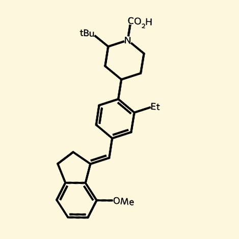 CCc1cc(/C=C2\CCc3cccc(OC)c32)ccc1C1CCN(C(=O)O)C(C(C)(C)C)C1